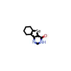 O=c1[nH]cnc2c3c([se]c12)CCCC3